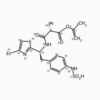 C=C(C)OC(=O)[C@H](C(=O)N[C@@H](Cc1ccc(NS(=O)(=O)O)cc1)c1nc(CC)cs1)C(C)C